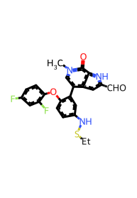 CCSNc1ccc(Oc2ccc(F)cc2F)c(-c2cn(C)c(=O)c3[nH]c(C=O)cc23)c1